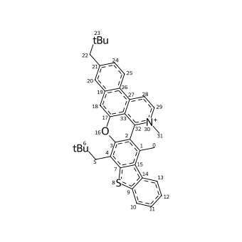 Cc1c2c(c(CC(C)(C)C)c3sc4ccccc4c13)Oc1cc3cc(CC(C)(C)C)ccc3c3cc[n+](C)c-2c13